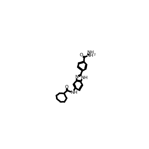 NNC(=O)c1ccc(-c2nc3cc(NC(=O)C4CCCCCC4)ccc3[nH]2)cc1